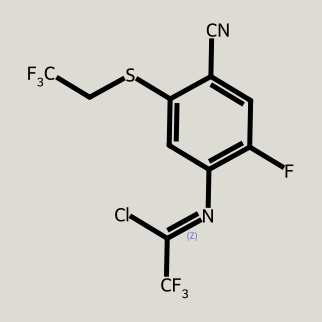 N#Cc1cc(F)c(/N=C(\Cl)C(F)(F)F)cc1SCC(F)(F)F